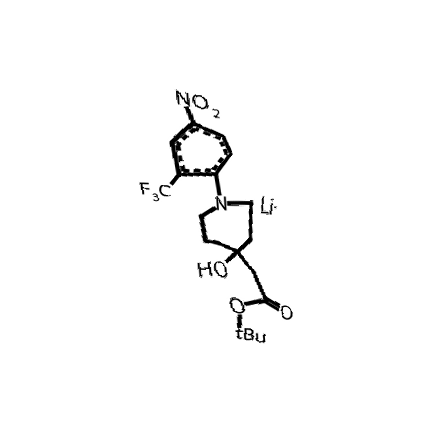 CC(C)(C)OC(=O)CC1(O)CCN(c2ccc([N+](=O)[O-])cc2C(F)(F)F)CC1.[Li]